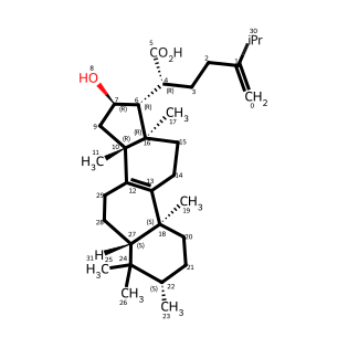 C=C(CC[C@@H](C(=O)O)[C@H]1[C@H](O)C[C@@]2(C)C3=C(CC[C@]12C)[C@@]1(C)CC[C@H](C)C(C)(C)[C@@H]1CC3)C(C)C